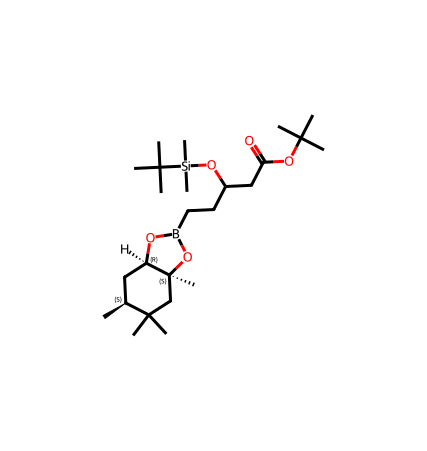 C[C@H]1C[C@H]2OB(CCC(CC(=O)OC(C)(C)C)O[Si](C)(C)C(C)(C)C)O[C@@]2(C)CC1(C)C